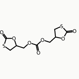 O=C(OCC1CSC(=O)O1)OCC1CSC(=O)O1